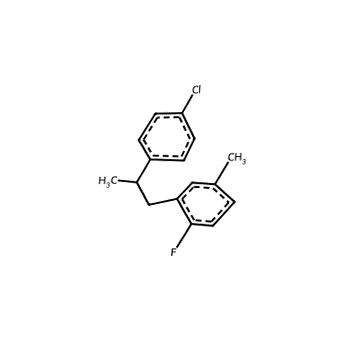 Cc1ccc(F)c(CC(C)c2ccc(Cl)cc2)c1